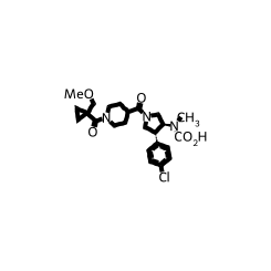 COCC1(C(=O)N2CCC(C(=O)N3C[C@@H](N(C)C(=O)O)[C@H](c4ccc(Cl)cc4)C3)CC2)CC1